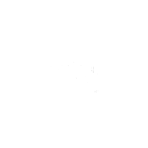 CC(C)OC(=O)c1ccc(C(CCC(C)(C)C)NCl)cc1